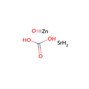 O=C(O)O.[O]=[Zn].[SrH2]